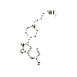 NCCCN1CCC(c2noc3cc(F)ccc23)CC1